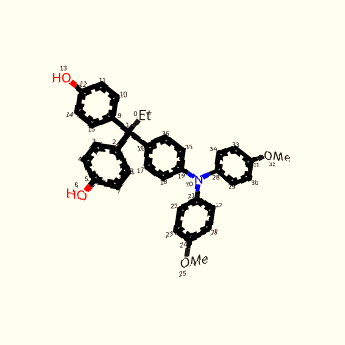 CCC(c1ccc(O)cc1)(c1ccc(O)cc1)c1ccc(N(c2ccc(OC)cc2)c2ccc(OC)cc2)cc1